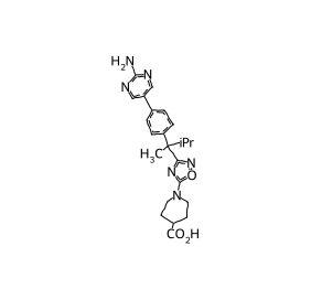 CC(C)C(C)(c1ccc(-c2cnc(N)nc2)cc1)c1noc(N2CCC(C(=O)O)CC2)n1